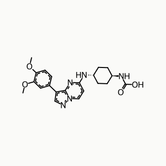 COc1ccc(-c2cnn3ccc(N[C@H]4CC[C@H](NC(=O)O)CC4)nc23)cc1OC